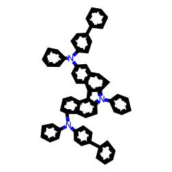 c1ccc(-c2ccc(N(c3ccccc3)c3ccc4c(ccc5c4c4c6cccc(N(c7ccccc7)c7ccc(-c8ccccc8)cc7)c6ccc4n5-c4ccccc4)c3)cc2)cc1